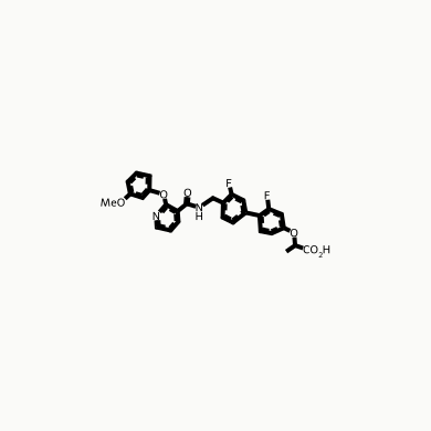 COc1cccc(Oc2ncccc2C(=O)NCc2ccc(-c3ccc(OC(C)C(=O)O)cc3F)cc2F)c1